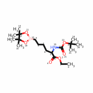 CCOC(=O)C(CCCCB1OC(C)(C)C(C)(C)O1)NC(=O)OC(C)(C)C